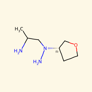 CC(N)CN(N)[C@H]1CCOC1